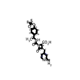 CN/C=C\C(=C/CN)C[C@H]1C(=O)N(C(=O)N[C@@H](C)c2ccc3c(c2)OC(F)(F)O3)[C@@H]1C(=O)O